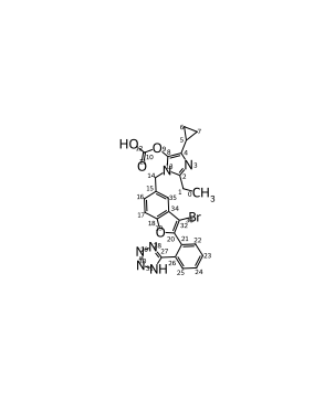 CCc1nc(C2CC2)c(OC(=O)O)n1Cc1ccc2oc(-c3ccccc3-c3nnn[nH]3)c(Br)c2c1